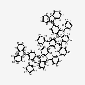 c1ccc(N2c3cc(-n4c5ccccc5c5ccccc54)ccc3B3c4cc5c6ccccc6c6cc7c(cc6c5cc4N(c4ccccc4)c4cccc2c43)N(c2ccccc2)c2cccc3c2B7c2ccc(-n4c5ccccc5c5ccccc54)cc2N3c2ccccc2)cc1